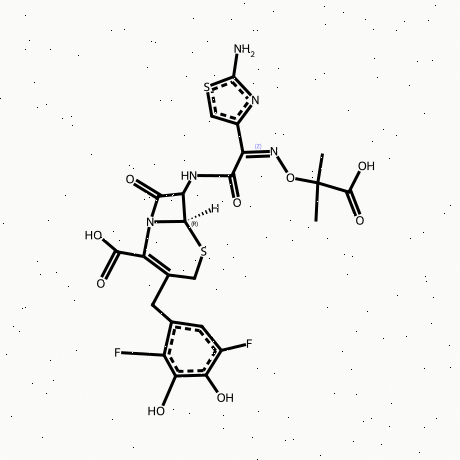 CC(C)(O/N=C(\C(=O)NC1C(=O)N2C(C(=O)O)=C(Cc3cc(F)c(O)c(O)c3F)CS[C@H]12)c1csc(N)n1)C(=O)O